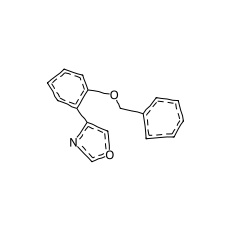 c1ccc(COc2ccccc2-c2cocn2)cc1